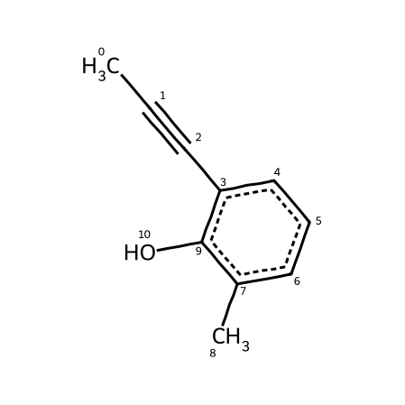 CC#Cc1cccc(C)c1O